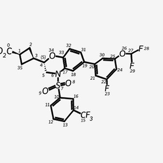 O=C(O)[C@H]1C[C@@H]([C@H]2CN(S(=O)(=O)c3cccc(C(F)(F)F)c3)c3cc(-c4cc(F)cc(OC(F)F)c4)ccc3O2)C1